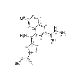 CC(C)(C)OC(=O)N1CC[C@H](N(N)c2nc(C(=N)NN)cc3ccc(Cl)cc23)C1